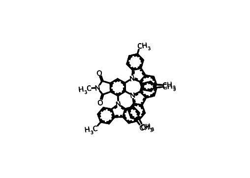 Cc1ccc2c(c1)c1cc(C)ccc1n2-c1cc2c(c(-n3c4ccc(C)cc4c4cc(C)ccc43)c1-n1c3ccc(C)cc3c3cc(C)ccc31)C(=O)N(C)C2=O